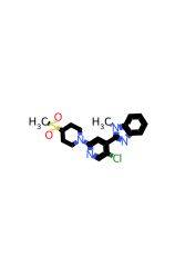 Cn1c(-c2cc(N3CCC(S(C)(=O)=O)CC3)ncc2Cl)nc2ccccc21